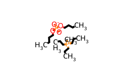 CCCCOP(=O)([O-])OCCCC.CCC[P+](C)(CCC)CCC